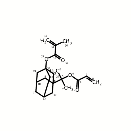 C=CC(=O)OC(C)(C)C12CC3CC(CC(OC(=O)C(=C)C)(C3)C1)C2